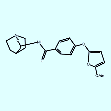 COc1ccc(Oc2ccc(C(=O)NC3CC4CCN(CC4)C3)cc2)o1